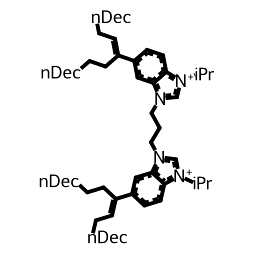 CCCCCCCCCCC/C=C(\CCCCCCCCCCCC)c1ccc2c(c1)n(CCCn1c[n+](C(C)C)c3ccc(/C(=C/CCCCCCCCCCC)CCCCCCCCCCCC)cc31)c[n+]2C(C)C